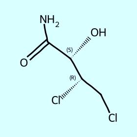 NC(=O)[C@H](O)[C@@H](Cl)CCl